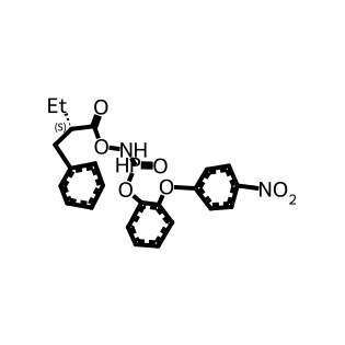 CC[C@@H](Cc1ccccc1)C(=O)ON[PH](=O)Oc1ccccc1Oc1ccc([N+](=O)[O-])cc1